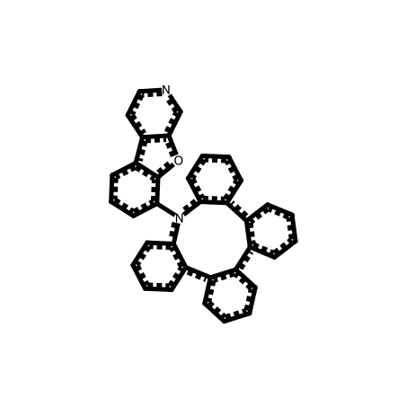 c1cc(-n2c3ccccc3c3ccccc3c3ccccc3c3ccccc32)c2oc3cnccc3c2c1